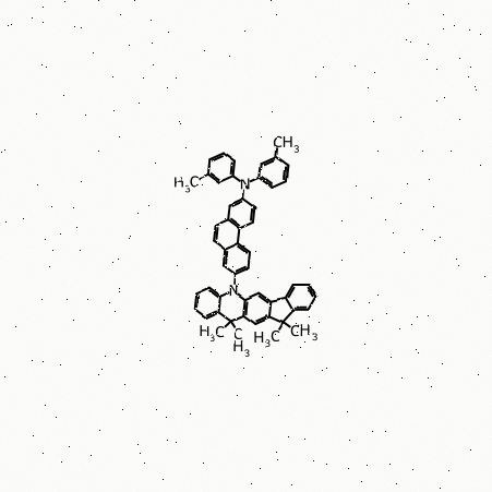 Cc1cccc(N(c2cccc(C)c2)c2ccc3c(ccc4cc(N5c6ccccc6C(C)(C)c6cc7c(cc65)-c5ccccc5C7(C)C)ccc43)c2)c1